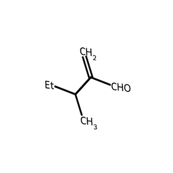 C=C(C=O)C(C)CC